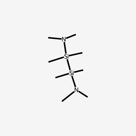 CN(C)[Si](C)(C)[Si](C)(C)N(C)C